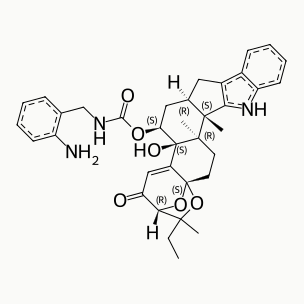 CCC1(C)O[C@@]23CC[C@]4(C)[C@@]5(C)c6[nH]c7ccccc7c6C[C@@H]5C[C@H](OC(=O)NCc5ccccc5N)[C@@]4(O)C2=CC(=O)[C@@H]1O3